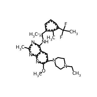 CCN1CCN(c2cc3c(N[C@H](C)c4cccc(C(C)(F)F)c4C)nc(C)nc3nc2OC)CC1